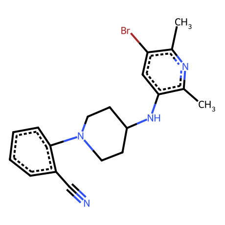 Cc1nc(C)c(NC2CCN(c3ccccc3C#N)CC2)cc1Br